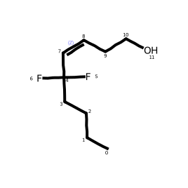 CCCCC(F)(F)/C=C\CCO